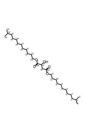 CC(C)CCCCCCCCCCOC(=O)CC(O)C(=O)OCCCCCCCCCCC(C)C